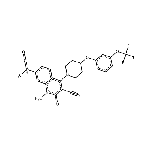 Cn1c(=O)c(C#N)c(N2CCC(Oc3cccc(OC(F)(F)F)c3)CC2)c2ccc([PH](C)=C=O)cc21